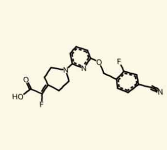 N#Cc1ccc(COc2cccc(N3CCC(=C(F)C(=O)O)CC3)n2)c(F)c1